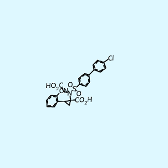 N#Cc1ccccc1[C@@H]1C[C@@]1(C(=O)O)N(CC(=O)O)S(=O)(=O)c1ccc(-c2ccc(Cl)cc2)cc1